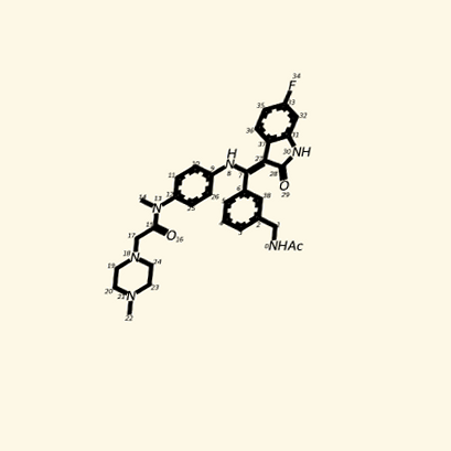 CC(=O)NCc1cccc(C(Nc2ccc(N(C)C(=O)CN3CCN(C)CC3)cc2)=C2C(=O)Nc3cc(F)ccc32)c1